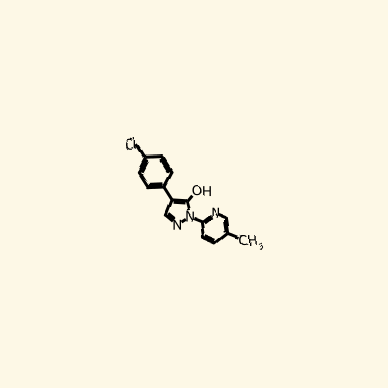 Cc1ccc(-n2ncc(-c3ccc(Cl)cc3)c2O)nc1